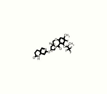 Cc1cc2c(c(O[C@@H](C)C(F)(F)F)c1F)C(=O)N1C[C@@H](Oc3cc4c(cn3)CCC(=O)N4)C[C@@H]1CO2